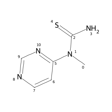 CN(C(N)=S)c1ccncn1